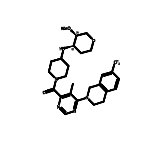 CO[C@H]1COCC[C@H]1NC1CCN(C(=O)c2ncnc(N3CCc4ccc(C(F)(F)F)cc4C3)c2C)CC1